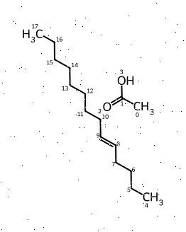 CC(=O)O.CCCCC=CCCCCCCCC